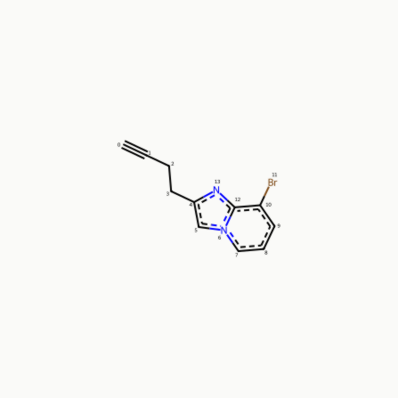 C#CCCc1cn2cccc(Br)c2n1